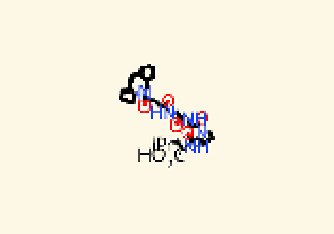 CC(C)C[C@H](NC(=O)[C@@H]1CCCN1C(=O)CNC(=O)CNC(=O)CCC(=O)N1Cc2ccccc2C#Cc2ccccc21)C(=O)O